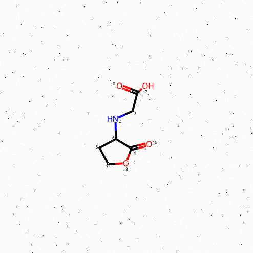 O=C(O)CNC1CCOC1=O